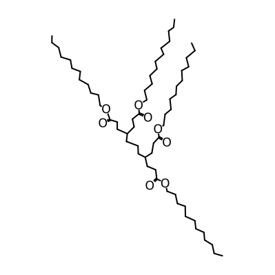 CCCCCCCCCCCCOC(=O)CCC(CCCC(CCC(=O)OCCCCCCCCCCCC)CCC(=O)OCCCCCCCCCCCC)CCC(=O)OCCCCCCCCCCCC